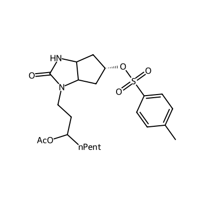 CCCCCC(CCN1C(=O)NC2C[C@H](OS(=O)(=O)c3ccc(C)cc3)CC21)OC(C)=O